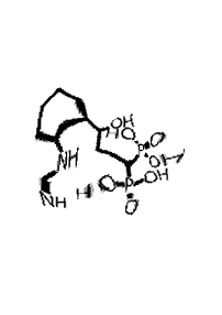 N=CNC1CCCCC1C(O)CC(P(=O)(O)O)P(=O)(O)O